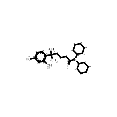 CC(C)(CCCC(=O)N(C1CCCCC1)C1CCCCC1)c1ccc(O)cc1O